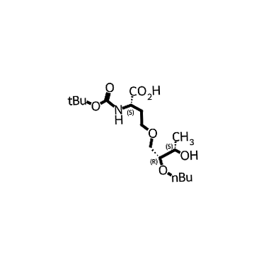 CCCCO[C@H](COCC[C@H](NC(=O)OC(C)(C)C)C(=O)O)[C@H](C)O